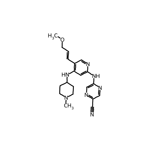 COC/C=C/c1cnc(Nc2cnc(C#N)cn2)cc1NC1CCN(C)CC1